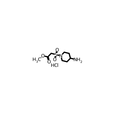 COC(=O)CS(=O)(=O)N1CCC(N)CC1.Cl